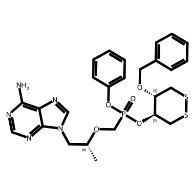 C[C@H](Cn1cnc2c(N)ncnc21)OCP(=O)(Oc1ccccc1)O[C@@H]1CSSC[C@H]1OCc1ccccc1